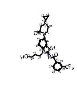 O=C(/N=c1\[nH]c2cc(N3CCN(C4CC4)CC3=O)ccc2n1CCCO)c1cccc(C(F)(F)F)c1